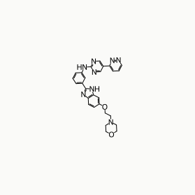 c1cc(Nc2ncc(-c3cccnn3)cn2)cc(-c2nc3ccc(OCCN4CCOCC4)cc3[nH]2)c1